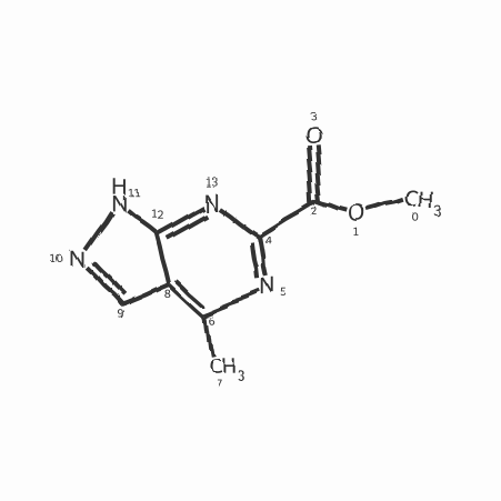 COC(=O)c1nc(C)c2cn[nH]c2n1